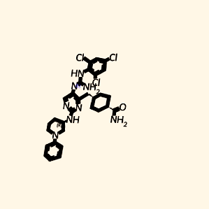 N/C(=N\c1cnc(N[C@@H]2CCCN(c3ccccc3)C2)nc1C[C@H]1CC[C@@H](C(N)=O)CC1)Nc1c(Cl)cc(Cl)cc1Cl